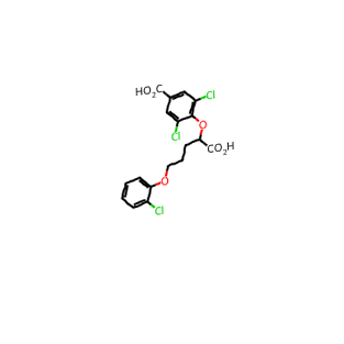 O=C(O)c1cc(Cl)c(OC(CCCOc2ccccc2Cl)C(=O)O)c(Cl)c1